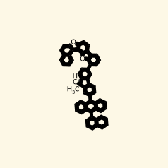 CC1(C)c2ccc(-c3cccc4c3oc3c4ccc4oc5ccc6ccccc6c5c43)cc2-c2ccc(-c3c4ccccc4c(-c4cccc5ccccc45)c4ccccc34)cc21